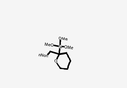 CCCCCCCCCCC1([Si](OC)(OC)OC)CCCCO1